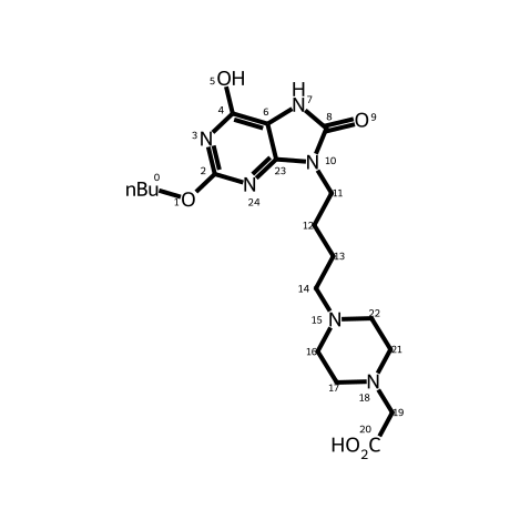 CCCCOc1nc(O)c2[nH]c(=O)n(CCCCN3CCN(CC(=O)O)CC3)c2n1